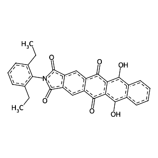 CCc1cccc(CC)c1-n1c(=O)c2cc3c(=O)c4c(O)c5ccccc5c(O)c4c(=O)c3cc2c1=O